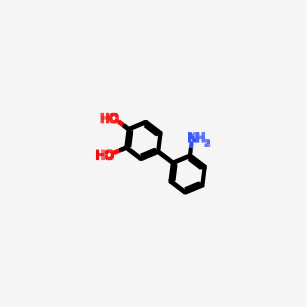 Nc1ccccc1-c1ccc(O)c(O)c1